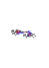 CN1CC[C@@H](c2ncc(-c3ccc(C#Cc4ccc(-c5cnc([C@@H]6CCN(C)N6C(=O)OC(C)(C)C)[nH]5)cc4)cc3)[nH]2)N1C(=O)OC(C)(C)C